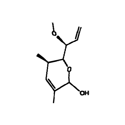 C=C[C@H](OC)C1OC(O)C(C)=C[C@H]1C